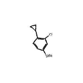 CSc1ccc(C2CC2)c(Cl)c1